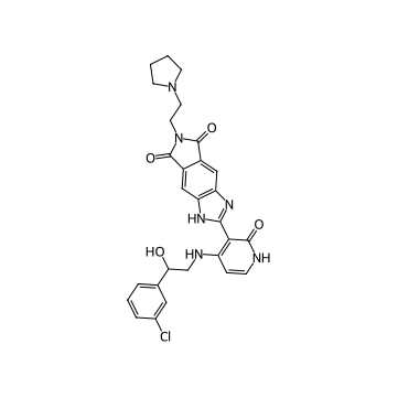 O=C1c2cc3nc(-c4c(NCC(O)c5cccc(Cl)c5)cc[nH]c4=O)[nH]c3cc2C(=O)N1CCN1CCCC1